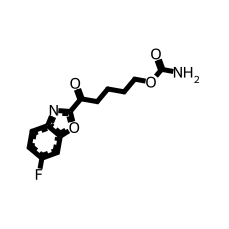 NC(=O)OCCCCC(=O)c1nc2ccc(F)cc2o1